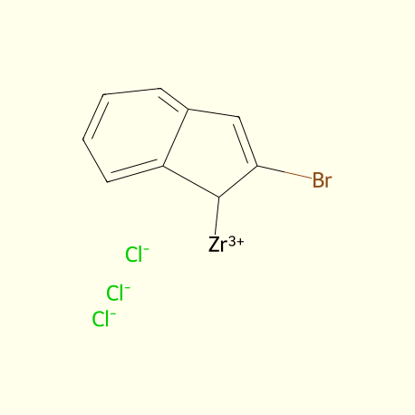 BrC1=Cc2ccccc2[CH]1[Zr+3].[Cl-].[Cl-].[Cl-]